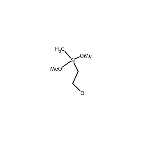 CO[Si](C)(CC[O])OC